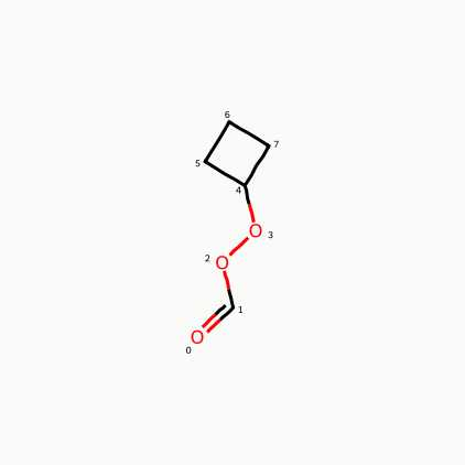 O=COOC1CCC1